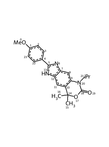 COc1ccc(-c2nc3cc4c(cc3[nH]2)C(C)(C)OC(=O)N4C(C)C)cc1